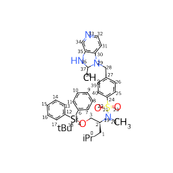 CC(C)C[C@@H](CO[Si](c1ccccc1)(c1ccccc1)C(C)(C)C)N(C)S(=O)(=O)c1ccc(CN2c3ccncc3NC2C)cc1